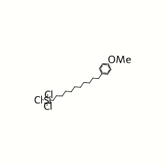 COc1ccc(CCCCCCCCCCC[Si](Cl)(Cl)Cl)cc1